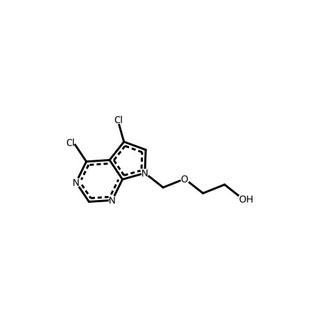 OCCOCn1cc(Cl)c2c(Cl)ncnc21